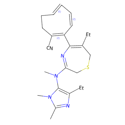 CCC1=C(C2=C(\C#N)CC/C=C/C=C\2)N=C(N(C)c2c(CC)nc(C)n2C)CSC1